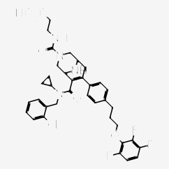 O=C(O)CCNC(=O)N1CC2CC(c3ccc(CCCOc4c(F)ccc(F)c4F)cc3)=C(C(=O)N(Cc3ccccc3Cl)C3CC3)C(C1)N2